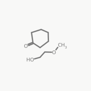 COCCO.O=C1CCCCC1